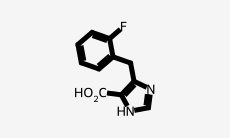 O=C(O)c1[nH]cnc1Cc1ccccc1F